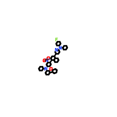 O=[N+]([O-])c1cc(N(c2ccccc2)c2cccc3c2oc2ccccc23)ccc1-c1ccc(-c2ccc(N(c3ccccc3)c3ccc(F)cc3)nc2)c2ccccc12